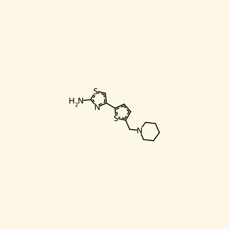 Nc1nc(-c2ccc(CN3CCCCC3)s2)cs1